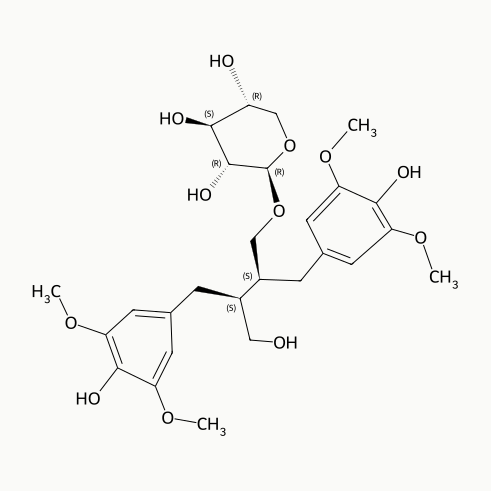 COc1cc(C[C@H](CO)[C@@H](CO[C@@H]2OC[C@@H](O)[C@H](O)[C@H]2O)Cc2cc(OC)c(O)c(OC)c2)cc(OC)c1O